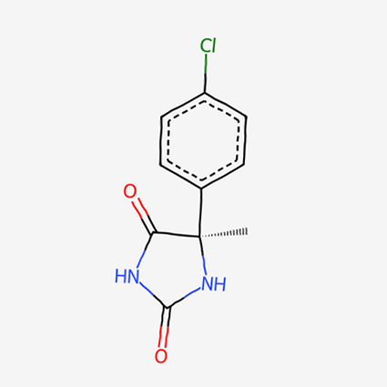 C[C@]1(c2ccc(Cl)cc2)NC(=O)NC1=O